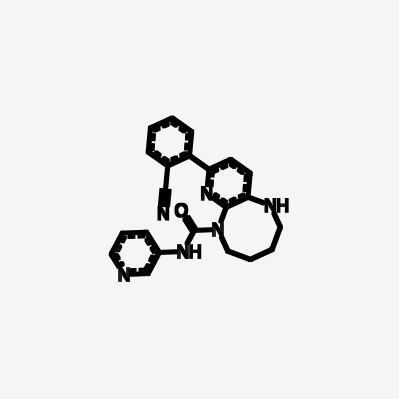 N#Cc1ccccc1-c1ccc2c(n1)N(C(=O)Nc1cccnc1)CCCCN2